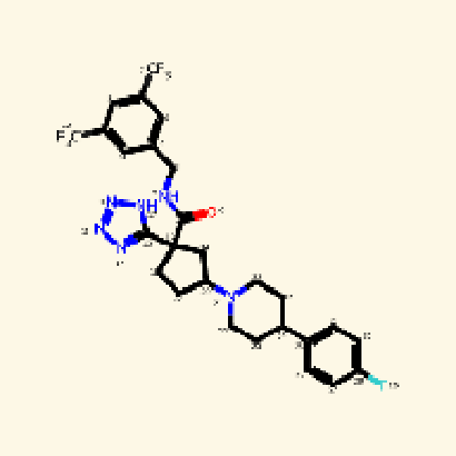 O=C(NCc1cc(C(F)(F)F)cc(C(F)(F)F)c1)C1(c2nnn[nH]2)CCC(N2CCC(c3ccc(F)cc3)CC2)C1